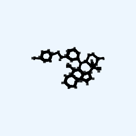 CN1CCN(C(c2ccnc(OCc3ccc(F)cc3)c2)c2c(O)c3ccccc3c3occ(C(=O)O)c23)CC1